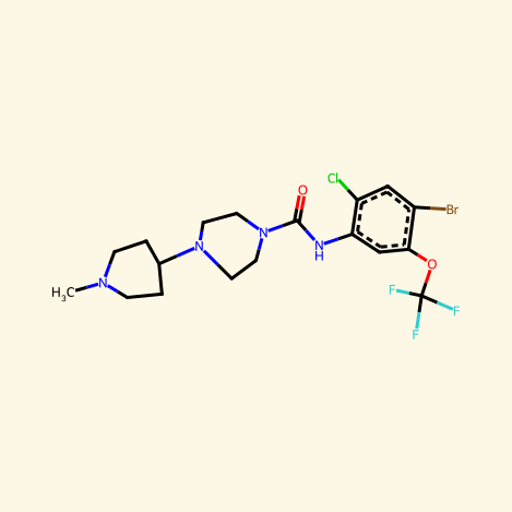 CN1CCC(N2CCN(C(=O)Nc3cc(OC(F)(F)F)c(Br)cc3Cl)CC2)CC1